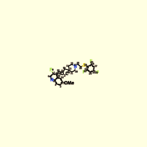 COc1ccc2ncc(F)c(CCCC3(C(=O)O)CCN(CCSc4c(F)cc(F)cc4F)CC3)c2c1